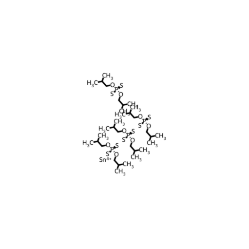 CC(C)COP(=S)([S-])OCC(C)C.CC(C)COP(=S)([S-])OCC(C)C.CC(C)COP(=S)([S-])OCC(C)C.CC(C)COP(=S)([S-])OCC(C)C.[Sn+4]